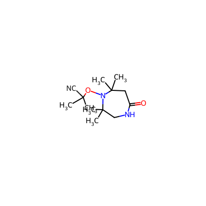 CC(C)(C#N)ON1C(C)(C)CNC(=O)CC1(C)C